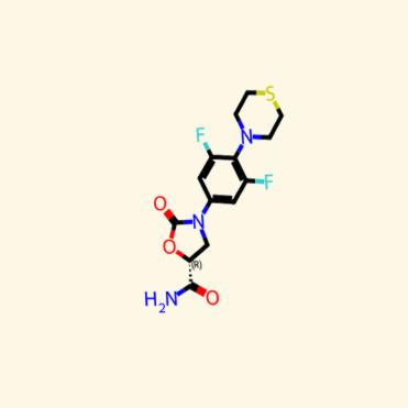 NC(=O)[C@H]1CN(c2cc(F)c(N3CCSCC3)c(F)c2)C(=O)O1